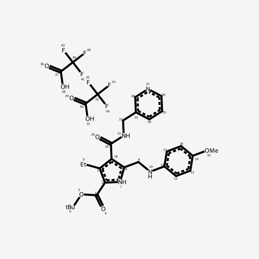 CCc1c(C(=O)OC(C)(C)C)[nH]c(CNc2ccc(OC)cc2)c1C(=O)NCc1cccnc1.O=C(O)C(F)(F)F.O=C(O)C(F)(F)F